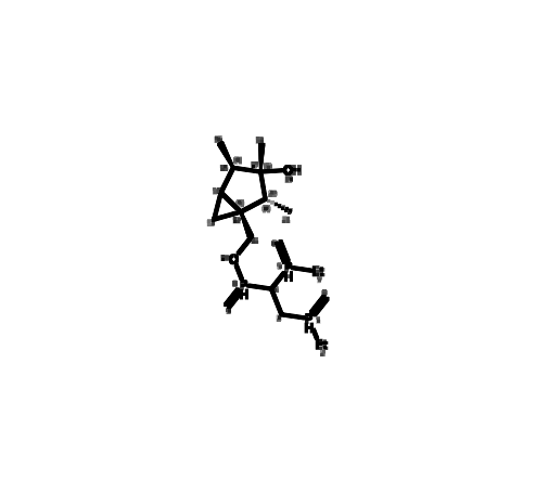 C=[PH](CC)CC([PH](=C)CC)[PH](=C)OC[C@@]12CC1[C@@H](C)[C@](C)(O)[C@@H]2C